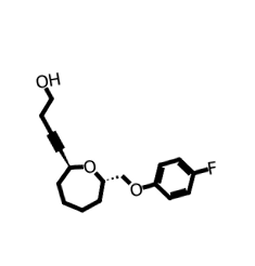 OCCC#C[C@@H]1CCCC[C@@H](COc2ccc(F)cc2)O1